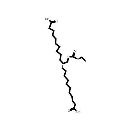 O=C(O)CCCCCCCCCC[C@H](CCCCCCCCCC(=O)O)COC(=O)OCI